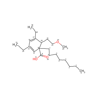 CCCCCCCCC1(C(=O)O)C=C(CC)C=C(CC)C1CCOC